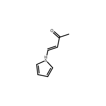 CC(=O)C=C[SH]1C=CC=C1